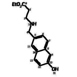 CCOC(=O)CCNCc1ccc2cc(O)ccc2c1